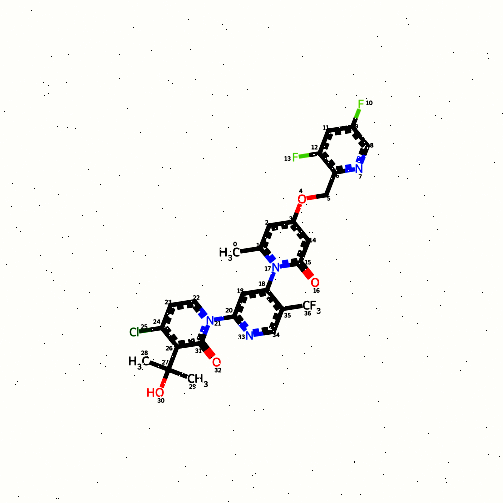 Cc1cc(OCc2ncc(F)cc2F)cc(=O)n1-c1cc(-n2ccc(Cl)c(C(C)(C)O)c2=O)ncc1C(F)(F)F